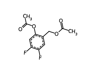 CC(=O)OCc1cc(F)c(F)cc1OC(C)=O